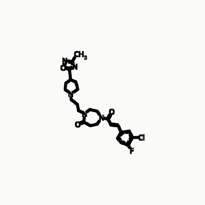 Cc1noc(C2CCN(CCCN3CCN(C(=O)C=Cc4ccc(F)c(Cl)c4)CCC3=O)CC2)n1